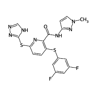 Cn1ccc(NC(=O)c2nc(Sc3nnc[nH]3)ccc2Sc2cc(F)cc(F)c2)n1